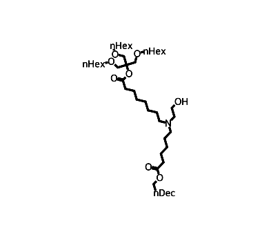 CCCCCCCCCCCOC(=O)CCCCCN(CCO)CCCCCCCC(=O)OC(COCCCCCC)(COCCCCCC)COCCCCCC